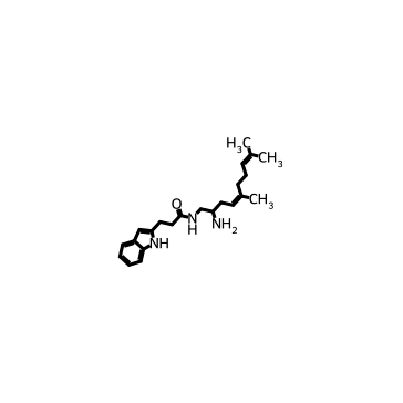 CC(C)=CCCC(C)=CCC(N)CNC(=O)CCc1cc2ccccc2[nH]1